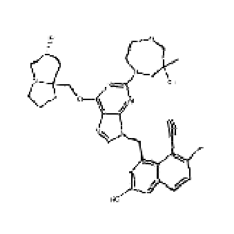 C#Cc1c(F)ccc2cc(O)cc(Cn3cnc4c(OC[C@@]56CCCN5C[C@H](F)C6)nc(N5CCOCC(C)(O)C5)nc43)c12